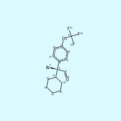 O=C[C@@](Br)(c1ccc(OC(F)(F)F)cc1)C1CCCCC1